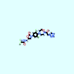 O=C(NC[C@H]1CN(c2cc(F)c(N3CCON(C(=O)Cn4cnnn4)CC3)c(F)c2)C(=O)O1)C(F)F